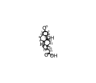 COc1ccc2c(c1)CC[C@@H]1C3CC[C@H](CC(=O)O)[C@@]3(C)CC[C@]21O